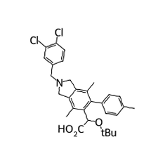 Cc1ccc(-c2c(C)c3c(c(C)c2C(OC(C)(C)C)C(=O)O)CN(Cc2ccc(Cl)c(Cl)c2)C3)cc1